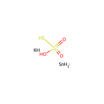 O=S(=O)(O)S.[KH].[SnH2]